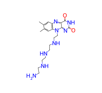 Cc1cc2nc3c(=O)[nH]c(=O)nc-3n(CCNCCNCCNCCN)c2cc1C